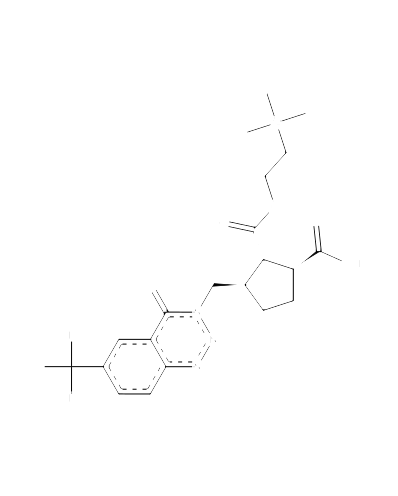 C[Si](C)(C)CCOC(=O)[C@H]1[C@H](Cn2nnc3ccc(C(F)(F)F)cc3c2=O)CC[C@@H]1C(=O)O